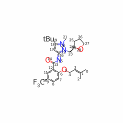 CC(C)=CCOc1ccc(C(F)(F)F)cc1C(=O)N=c1cc(C(C)(C)C)n(C)n1C[C@H]1CCCO1